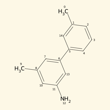 Cc1cccc(-c2cc(C)cc(N)c2)c1